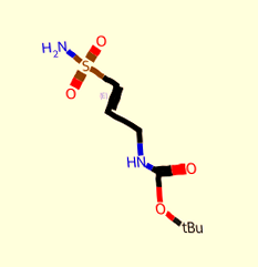 CC(C)(C)OC(=O)NC/C=C/S(N)(=O)=O